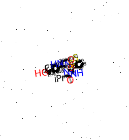 CC(C)[C@@H]1C(=O)NCCN1C[C@@]1(c2ccc([C@@](C)(O)C(F)(F)F)cc2)CN(S(=O)(=O)C2=CC=CCC2=S)CCN1